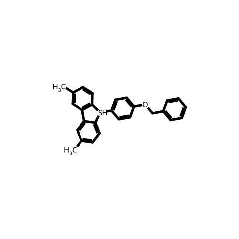 Cc1ccc2c(c1)-c1cc(C)ccc1[SH]2c1ccc(OCc2ccccc2)cc1